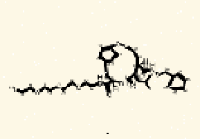 CC(C)C[C@H]1C(=O)N[C@H](C(=O)NCCOCCOCCOCCF)Cc2ccc(cc2)OCCC[C@@H]1C(=O)NOCc1ccccc1